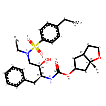 CNCc1ccc(S(=O)(=O)N(CC(C)C)C[C@@H](O)[C@H](Cc2ccccc2)NC(=O)OC2CC3CCO[C@@H]3C2)cc1